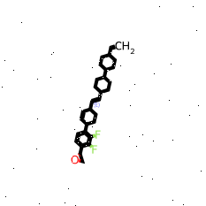 C=CC1CCC(C2CCC(/C=C/C3C=CC(c4ccc(C5CO5)c(F)c4F)CC3)CC2)CC1